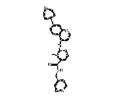 Cc1c(Oc2ccnc3cc(-c4ccncc4)ccc23)cccc1C(=O)NCc1ccncc1